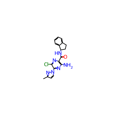 Cc1ccn(-c2nc(N)c(C(=O)N[C@@H]3CCc4ccccc43)nc2Cl)n1